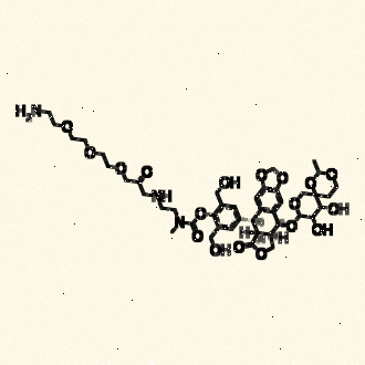 CC1OCCC2(COC(O[C@@H]3c4cc5c(cc4[C@@H](c4cc(CO)c(OC(=O)N(C)CCNCC(=O)COCCOCCOCCN)c(CO)c4)[C@H]4C(=O)OC[C@@H]43)OCO5)C(O)C2O)O1